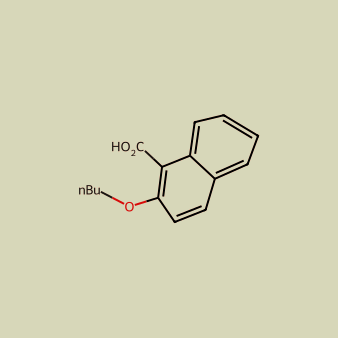 CCCCOc1ccc2ccccc2c1C(=O)O